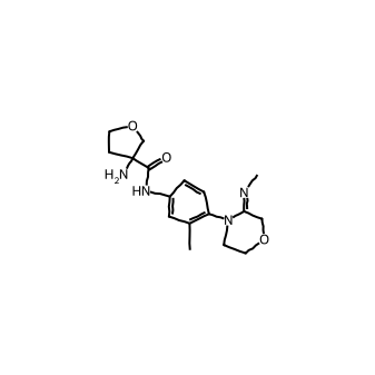 CN=C1COCCN1c1ccc(NC(=O)C2(N)CCOC2)cc1C